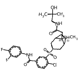 C[C@H]1CC2CC(S(=O)(=O)c3cc(C(=O)Nc4ccc(F)c(F)c4)ccc3Cl)CC1[C@@]2(O)CC(=O)NCC(C)(C)O